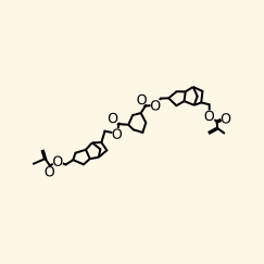 C=C(C)C(=O)OCC1CC2C3CC(COC(=O)C4CCCC(C(=O)OCC5CC6C7CC(COC(=O)C(=C)C)C(C7)C6C5)C4)C(C3)C2C1